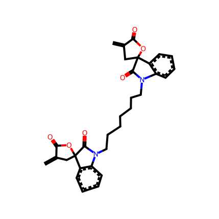 C=C1CC2(OC1=O)C(=O)N(CCCCCCCN1C(=O)C3(CC(=C)C(=O)O3)c3ccccc31)c1ccccc12